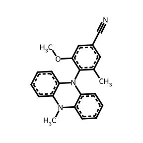 COc1cc(C#N)cc(C)c1N1c2ccccc2N(C)c2ccccc21